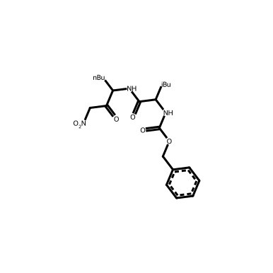 CCCCC(NC(=O)C(NC(=O)OCc1ccccc1)C(C)CC)C(=O)C[N+](=O)[O-]